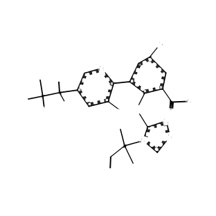 CC(C)(CO)n1cnnc1Sc1c(C(N)=O)cc([N+](=O)[O-])cc1-c1ncc(C(F)(F)C(F)(F)C(F)(F)F)cc1F